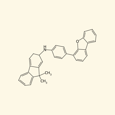 CC1(C)C2=CC(Nc3ccc(-c4cccc5c4oc4ccccc45)cc3)CC=C2c2ccccc21